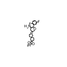 CC(C)S(=O)(=O)N1CCC2(CCN([C@H]3CO[C@H](c4cc(F)ccc4F)[C@@H](N)C3)C2)C1